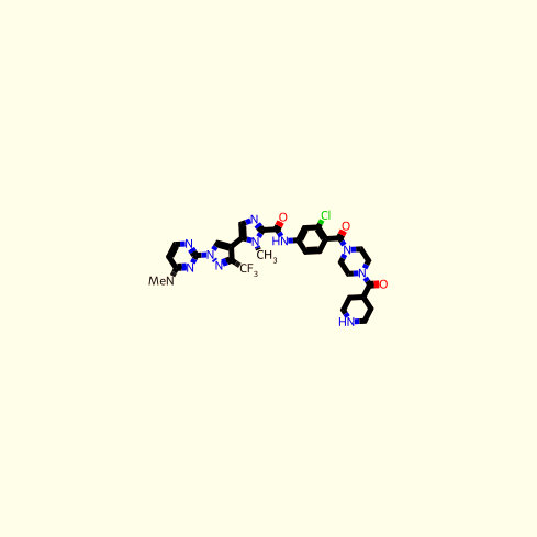 CNc1ccnc(-n2cc(-c3cnc(C(=O)Nc4ccc(C(=O)N5CCN(C(=O)C6CCNCC6)CC5)c(Cl)c4)n3C)c(C(F)(F)F)n2)n1